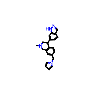 CN1Cc2cc(Cn3cccc3)ccc2C(c2ccc3cn[nH]c3c2)C1